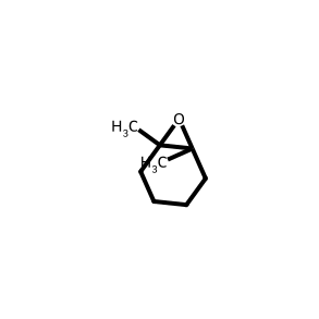 CC12CCCCC1(C)O2